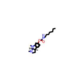 CCCCCCCNC(=O)Oc1ccc2c(c1)N(C)[C@H]1N(C)CC[C@@]21C